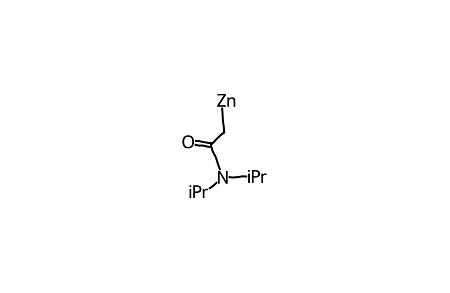 CC(C)N(C(=O)[CH2][Zn])C(C)C